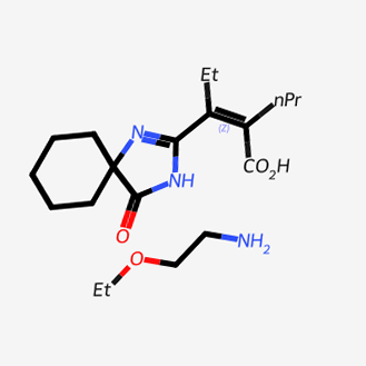 CCC/C(C(=O)O)=C(\CC)C1=NC2(CCCCC2)C(=O)N1.CCOCCN